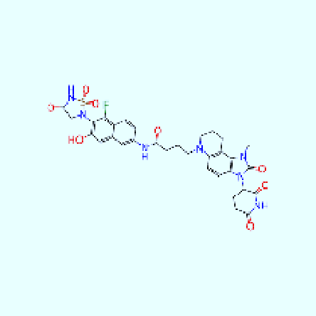 Cn1c(=O)n(C2CCC(=O)NC2=O)c2ccc3c(c21)CCCN3CCCC(=O)Nc1ccc2c(F)c(N3CC(=O)NS3(=O)=O)c(O)cc2c1